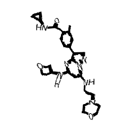 Cc1cc(-c2cnn3c(NCCN4CCOCC4)cc(NC4COC4)nc23)ccc1C(=O)NC1CC1